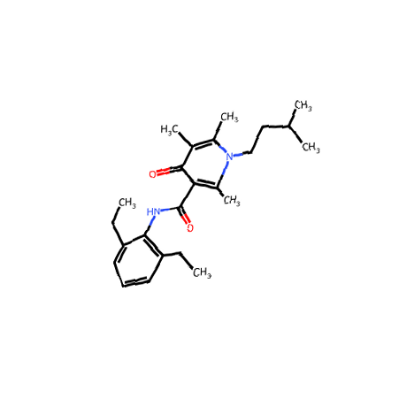 CCc1cccc(CC)c1NC(=O)c1c(C)n(CCC(C)C)c(C)c(C)c1=O